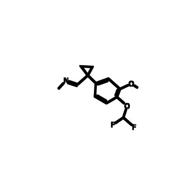 CN=CC1(c2ccc(OC(F)F)c(OC)c2)CC1